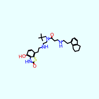 CC(C)(C)CN(CCNCCc1ccc(O)c2[nH]c(=O)sc12)C(=O)CCNCCc1cccc2c1CCCC2